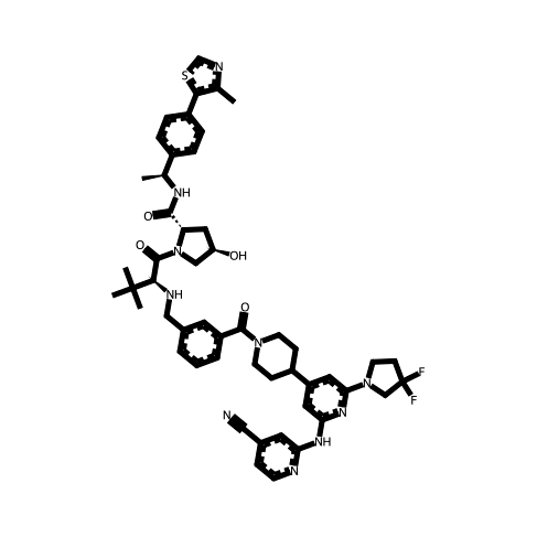 Cc1ncsc1-c1ccc([C@H](C)NC(=O)[C@@H]2C[C@@H](O)CN2C(=O)[C@@H](NCc2cccc(C(=O)N3CCC(c4cc(Nc5cc(C#N)ccn5)nc(N5CCC(F)(F)C5)c4)CC3)c2)C(C)(C)C)cc1